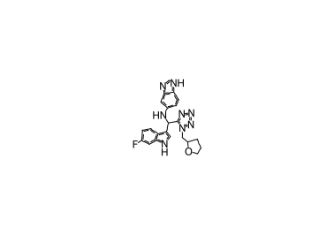 Fc1ccc2c(C(Nc3ccc4[nH]cnc4c3)c3nnnn3CC3CCCO3)c[nH]c2c1